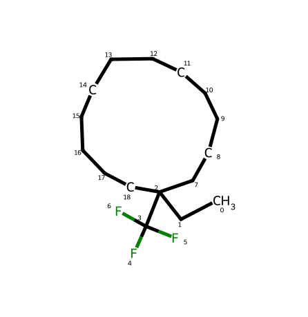 CCC1(C(F)(F)F)CCCCCCCCCCCC1